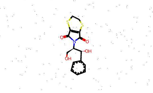 O=C1C2=C(SCCS2)C(=O)N1[C@H](CO)[C@H](O)c1ccccc1